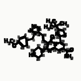 COc1ccc(Cn2nnnc2C=Cc2c(N3CCNCC3)nc3cc(C(N)=O)cc(-c4nc(C(C)(C)C)cs4)n3c2=O)cc1